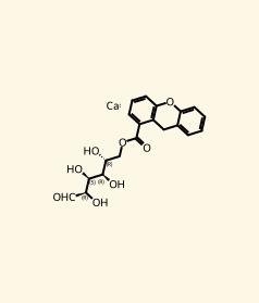 O=C[C@H](O)[C@@H](O)[C@H](O)[C@H](O)COC(=O)c1cccc2c1Cc1ccccc1O2.[Ca]